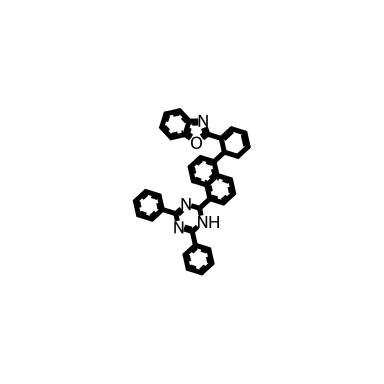 C1=CCC(c2cccc3c(C4N=C(c5ccccc5)N=C(c5ccccc5)N4)cccc23)C(c2nc3ccccc3o2)=C1